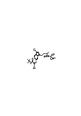 CC(CCn1cc(Cl)c2ccc(CN(C(=O)OC(C)(C)C)C3CC3)cc21)NC(=O)O